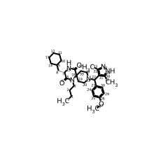 CCCCN1C(=O)[C@H](CC2CCCCC2)NC(=O)C12CCN(C(c1ccc(OC)cc1)c1c(C)n[nH]c1C)CC2